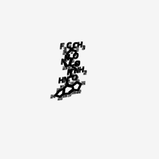 C[C@]1(C(F)(F)F)COc2c(S(N)(=O)=NC(=O)Nc3c4c(cc5c3CCC5)CCC4)cnn2C1